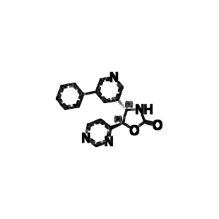 O=C1N[C@@H](c2cncc(-c3ccccc3)c2)[C@H](c2ccncn2)O1